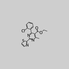 CCOC(=O)c1c(C)nc(-c2nccs2)nc1-c1ccccc1Cl